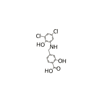 O=C(O)c1ccc(CNc2cc(Cl)cc(Cl)c2O)cc1O